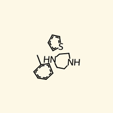 C1CNCCN1.Cc1ccccc1.c1ccsc1